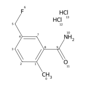 Cc1ccc(CF)cc1C(N)=O.Cl.Cl